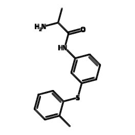 Cc1ccccc1Sc1cccc(NC(=O)C(C)N)c1